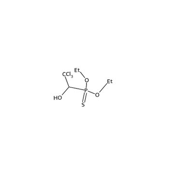 CCOP(=S)(OCC)C(O)C(Cl)(Cl)Cl